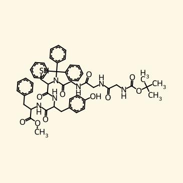 COC(=O)C(Cc1ccccc1)NC(=O)C(Cc1ccc(O)cc1)NC(=O)C(CS)N(C(=O)CNC(=O)CNC(=O)CNC(=O)OC(C)(C)C)C(c1ccccc1)(c1ccccc1)c1ccccc1